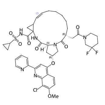 COc1ccc2c(O[C@@H]3C[C@H]4C(=O)NC5(C(=O)NS(=O)(=O)C6CC6)CC5/C=C\CCCCC[C@H](CC(=O)N5CCCC(F)(F)C5)C(=O)N4C3)cc(-c3ccccn3)nc2c1Cl